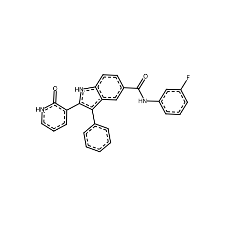 O=C(Nc1cccc(F)c1)c1ccc2[nH]c(-c3ccc[nH]c3=O)c(-c3ccccc3)c2c1